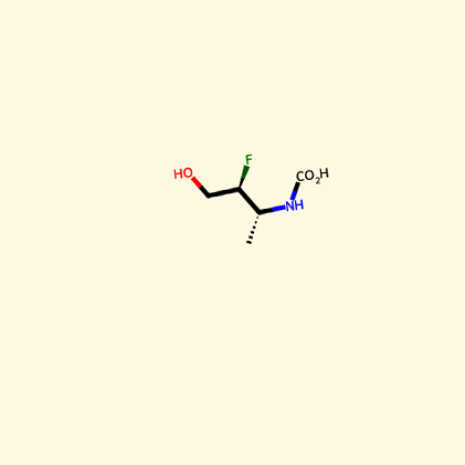 C[C@@H](NC(=O)O)[C@H](F)CO